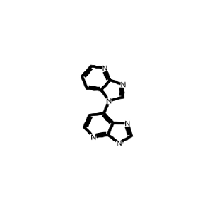 C1=Nc2c(-n3cnc4ncccc43)ccnc2[N]1